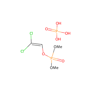 COP(=O)(OC)OC=C(Cl)Cl.O=P(O)(O)O